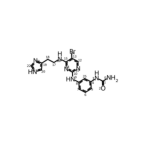 NC(=O)Nc1cccc(Nc2ncc(Br)c(NCCc3c[nH]cn3)n2)c1